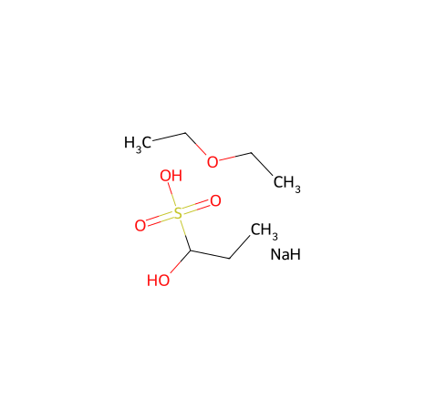 CCC(O)S(=O)(=O)O.CCOCC.[NaH]